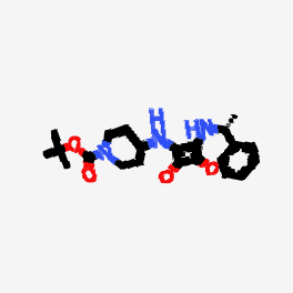 C[C@@H](Nc1c(NC2CCN(C(=O)OC(C)(C)C)CC2)c(=O)c1=O)c1ccccc1